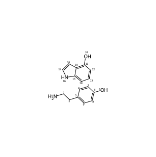 NCCc1ccc(O)cc1.Oc1cccc2[nH]ccc12